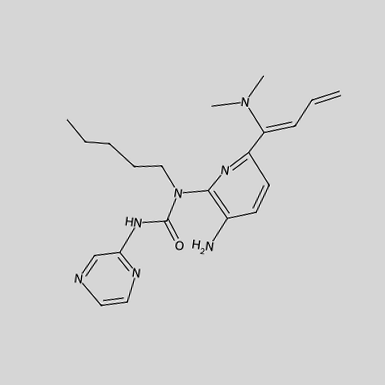 C=C/C=C(/c1ccc(N)c(N(CCCCC)C(=O)Nc2cnccn2)n1)N(C)C